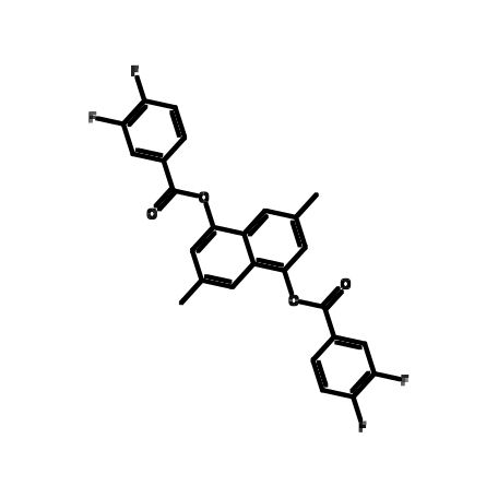 Cc1cc(OC(=O)c2ccc(F)c(F)c2)c2cc(C)cc(OC(=O)c3ccc(F)c(F)c3)c2c1